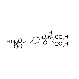 O=C(O)CC(NC(=O)Oc1ccc(CCCON(O)O)cc1)C(=O)O